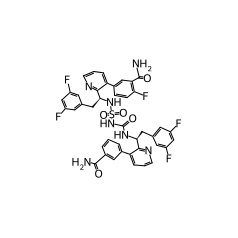 NC(=O)c1cccc(-c2cccnc2[C@H](Cc2cc(F)cc(F)c2)NC(=O)NS(=O)(=O)N[C@@H](Cc2cc(F)cc(F)c2)c2ncccc2-c2ccc(F)c(C(N)=O)c2)c1